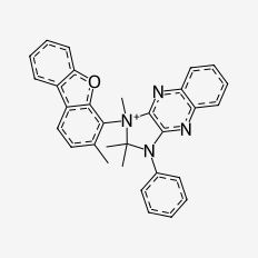 Cc1ccc2c(oc3ccccc32)c1[N+]1(C)c2nc3ccccc3nc2N(c2ccccc2)C1(C)C